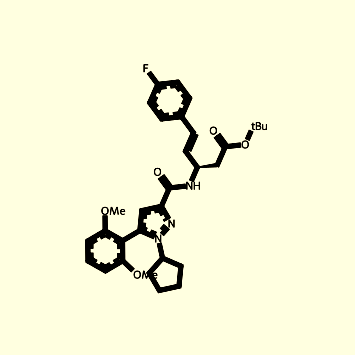 COc1cccc(OC)c1-c1cc(C(=O)N[C@@H](/C=C/c2ccc(F)cc2)CC(=O)OC(C)(C)C)nn1C1CCCC1